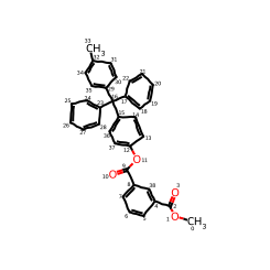 COC(=O)c1cccc(C(=O)Oc2ccc(C(c3ccccc3)(c3ccccc3)c3ccc(C)cc3)cc2)c1